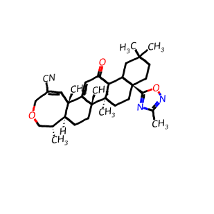 Cc1noc([C@]23CCC(C)(C)CC2C2C(=O)C=C4[C@@]5(C)/C=C(/C#N)COC[C@@H](C)[C@@H]5CC[C@@]4(C)[C@]2(C)CC3)n1